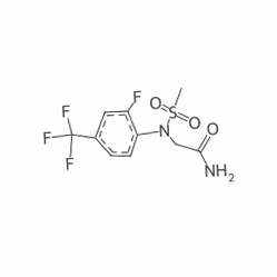 CS(=O)(=O)N(CC(N)=O)c1ccc(C(F)(F)F)cc1F